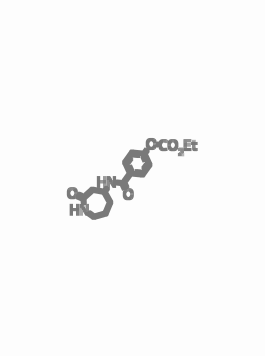 CCOC(=O)Oc1ccc(C(=O)NC2CCCNC(=O)C2)cc1